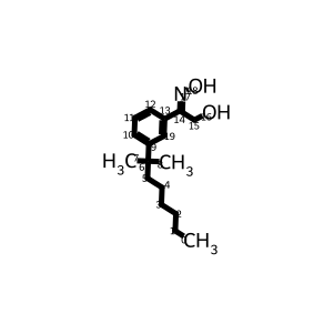 CCCCCCC(C)(C)c1cccc(C(CO)=NO)c1